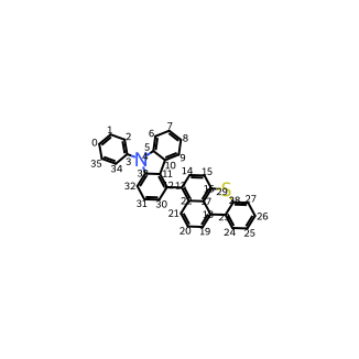 c1ccc(-n2c3ccccc3c3c(-c4ccc5c6c(cccc46)-c4ccccc4S5)cccc32)cc1